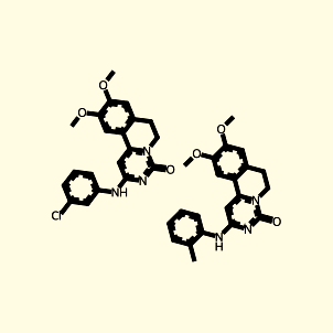 COc1cc2c(cc1OC)-c1cc(Nc3cccc(Cl)c3)nc(=O)n1CC2.COc1cc2c(cc1OC)-c1cc(Nc3ccccc3C)nc(=O)n1CC2